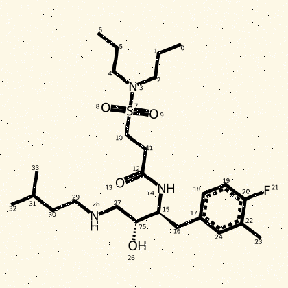 CCCN(CCC)S(=O)(=O)CCC(=O)N[C@@H](Cc1ccc(F)c(C)c1)[C@H](O)CNCCC(C)C